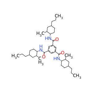 CCCC1CCC(NC(=O)c2cc(C(=O)NC3CCC(CCC)CC3C)cc(C(=O)NC3CCC(CCC)CC3C)c2)C(C)C1